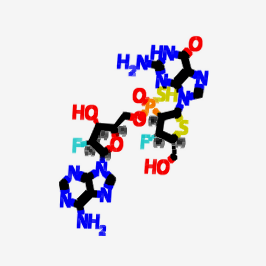 Nc1nc2c(ncn2C2S[C@H](CO)[C@H](F)[C@H]2P(=O)(S)OC[C@H]2O[C@@H](n3cnc4c(N)ncnc43)[C@@H](F)[C@@H]2O)c(=O)[nH]1